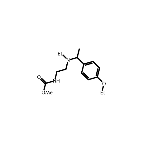 CCOc1ccc(C(C)N(CC)CCNC(=O)OC)cc1